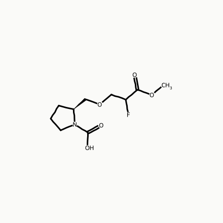 COC(=O)C(F)COC[C@@H]1CCCN1C(=O)O